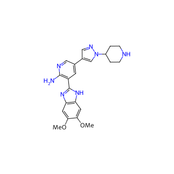 COc1cc2nc(-c3cc(-c4cnn(C5CCNCC5)c4)cnc3N)[nH]c2cc1OC